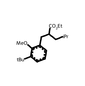 CCOC(=O)C(Cc1cccc(C(C)(C)C)c1OC)CC(C)C